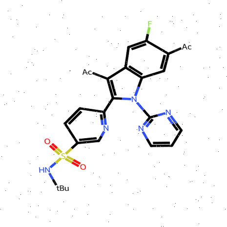 CC(=O)c1cc2c(cc1F)c(C(C)=O)c(-c1ccc(S(=O)(=O)NC(C)(C)C)cn1)n2-c1ncccn1